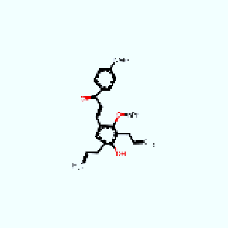 C=CCc1cc(C=CC(=O)c2ccc(NC)cc2)c(OCCC)c(CC=C)c1O